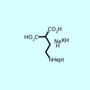 CCCCCCCCCC(C(=O)O)C(=O)O.[KH].[NaH]